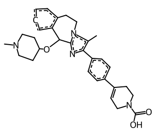 Cc1c(-c2ccc(C3=CCN(C(=O)O)CC3)cc2)nc2n1CCc1ccccc1C2OC1CCN(C)CC1